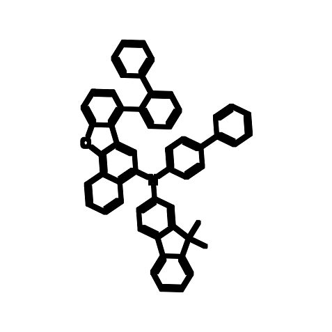 CC1(C)c2ccccc2-c2ccc(N(c3ccc(-c4ccccc4)cc3)c3cc4c(oc5cccc(-c6ccccc6-c6ccccc6)c54)c4ccccc34)cc21